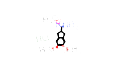 CON=C(N)C1Cc2cc(OC)c(OC)cc2C1.Cl